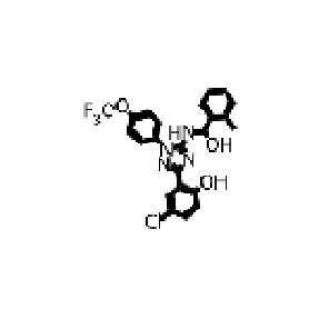 Cc1ccccc1C(O)Nc1nc(-c2cc(Cl)ccc2O)nn1-c1ccc(OC(F)(F)F)cc1